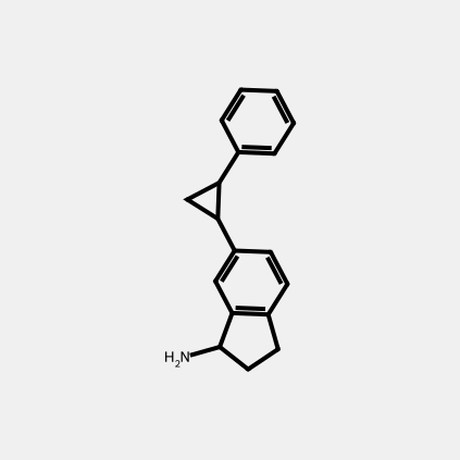 NC1CCc2ccc(C3CC3c3ccccc3)cc21